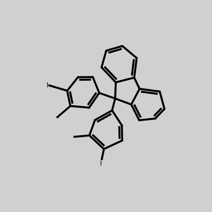 Cc1cc(C2(c3ccc(I)c(C)c3)c3ccccc3-c3ccccc32)ccc1I